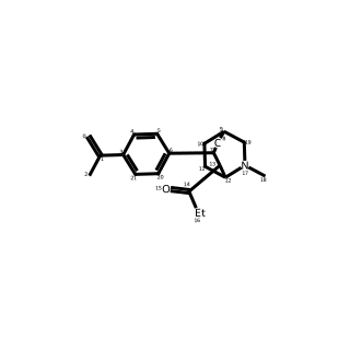 C=C(C)c1ccc(C2CC3CCC(C2C(=O)CC)N(C)C3)cc1